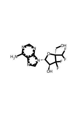 Nc1ncnc2c1ncn2[C@@H]1O[C@@](CO)(C(F)F)C(F)(F)[C@H]1O